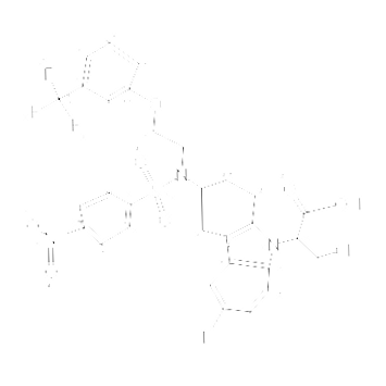 CCC(C(=O)O)n1c2c(c3cc(F)ccc31)CC(N(CCOc1cccc(C(F)(F)F)c1)S(=O)(=O)c1ccc([N+](=O)[O-])cc1)CC2